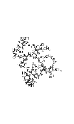 C=CC12CC(=NC(Nc3cc(N(CC)CC)c(OC)cc3/N=N/c3nc(N4CCOCC4)c(/C=C(/C(C)=O)C(=O)Nc4ccc(S(=O)(=O)O)cc4)s3)=N1)CCCCOCN(CC)c1cc(c(/N=N/c3nc(N4CCOCC4)c(/C=C(\C(C)=O)C(=O)Nc4ccc(S(=O)(=O)O)cc4)s3)cc1OC)N2